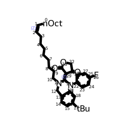 CCCCCCCC/C=C\CCCCCCCCN(Cc1ccc(C(C)(C)C)cc1)/C(Nc1ccc(F)cc1)=C1/C(=O)COC1=O